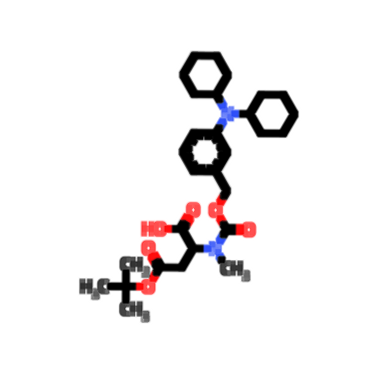 CN(C(=O)OCc1cccc(N(C2CCCCC2)C2CCCCC2)c1)C(CC(=O)OC(C)(C)C)C(=O)O